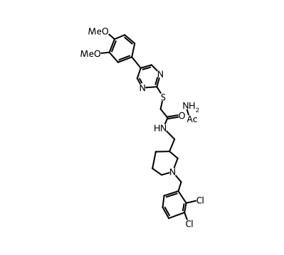 CC(N)=O.COc1ccc(-c2cnc(SCC(=O)NCC3CCCN(Cc4cccc(Cl)c4Cl)C3)nc2)cc1OC